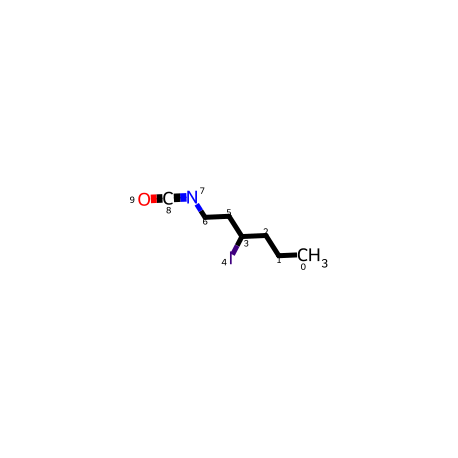 CCCC(I)CCN=C=O